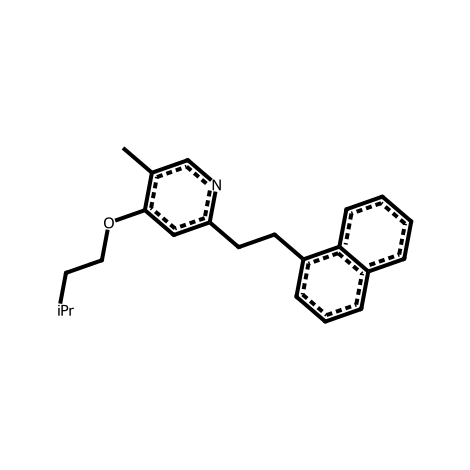 Cc1cnc(CCc2cccc3ccccc23)cc1OCCC(C)C